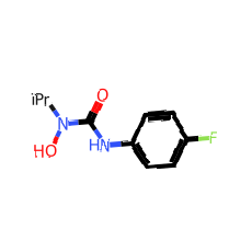 CC(C)N(O)C(=O)Nc1ccc(F)cc1